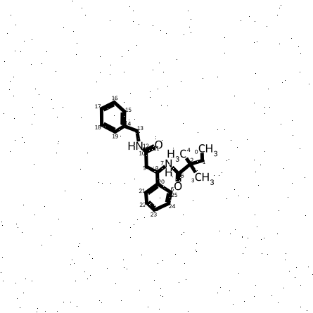 CCC(C)(C)C(=O)NC(CC(=O)NCc1ccccc1)c1ccccc1